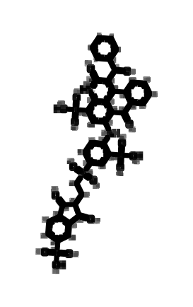 O=C(c1ccccc1)c1c2c3c(c(Nc4ccc(S(=O)(=O)CCC5C(=O)c6ccc(S(=O)(=O)O)cc6C5=O)cc4S(=O)(=O)O)cc(S(=O)(=O)O)c3[nH]c1=O)C(=O)c1ccccc1-2